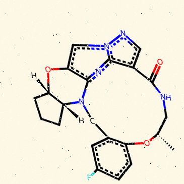 C[C@H]1CNC(=O)c2cnn3cc4c(nc23)N(Cc2cc(F)ccc2O1)[C@@H]1CCC[C@@H]1O4